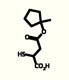 CC1(OC(=O)CC(S)C(=O)O)CCCC1